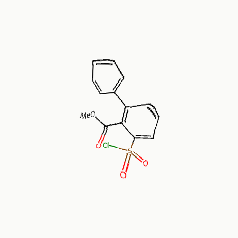 COC(=O)c1c(-c2ccccc2)cccc1S(=O)(=O)Cl